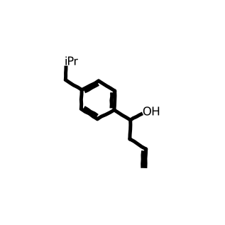 C=CCC(O)c1ccc(CC(C)C)cc1